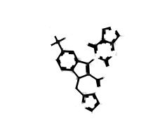 O=C(O)C1=C(n2c(=O)[nH]c3cscc3c2=O)c2cc(C(F)(F)F)ccc2C1Cc1ccco1